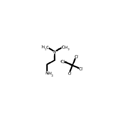 CN(C)CCN.ClC(Cl)(Cl)Cl